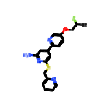 CCC(F)COc1ccc(-c2cc(N)nc(SCc3ccccn3)c2)nc1